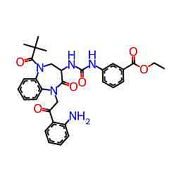 CCOC(=O)c1cccc(NC(=O)NC2CN(C(=O)C(C)(C)C)c3ccccc3N(CC(=O)c3ccccc3N)C2=O)c1